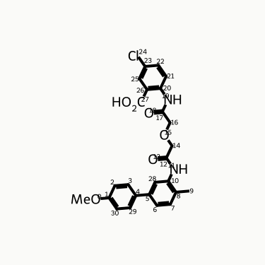 COc1ccc(-c2ccc(C)c(NC(=O)COCC(=O)Nc3ccc(Cl)cc3C(=O)O)c2)cc1